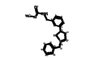 CC(C)(C)OC(=O)NCc1cccc(C2CCN(Cc3ccccc3)C2)c1